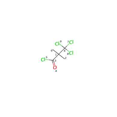 CC(C)(C(=O)Cl)C(Cl)(Cl)Cl